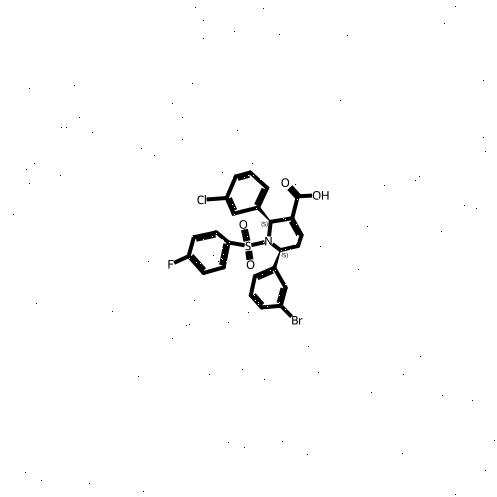 O=C(O)C1=CC[C@@H](c2cccc(Br)c2)N(S(=O)(=O)c2ccc(F)cc2)[C@H]1c1cccc(Cl)c1